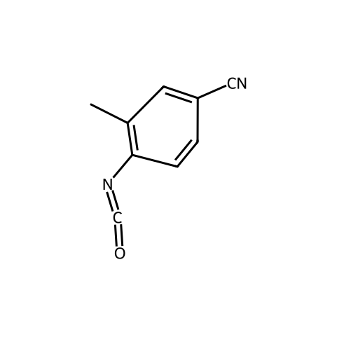 Cc1cc(C#N)ccc1N=C=O